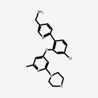 Cc1cc(Oc2cc(Cl)ccc2-c2ccc(CN)cn2)cc(N2CCOCC2)n1